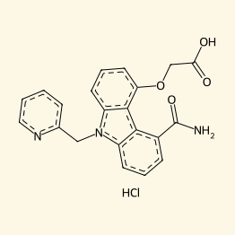 Cl.NC(=O)c1cccc2c1c1c(OCC(=O)O)cccc1n2Cc1ccccn1